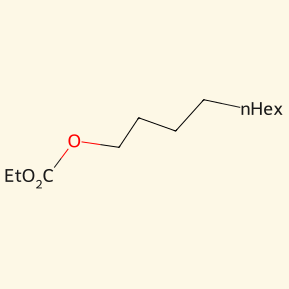 [CH2]COC(=O)OCCCCCCCCCC